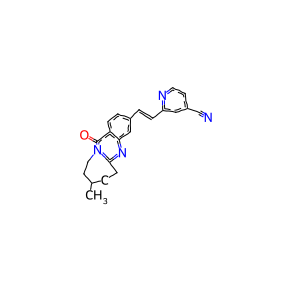 CC1CCc2nc3cc(C=Cc4cc(C#N)ccn4)ccc3c(=O)n2CC1